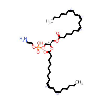 CCCCC/C=C\C/C=C\C/C=C\CCCCC(=O)OC[C@H](COP(=O)(O)OCCN)OC(=O)CCCCCCC/C=C\C/C=C\CCCCC